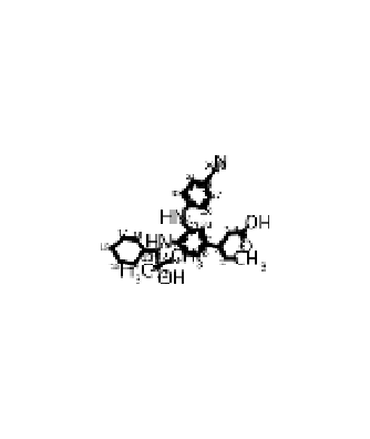 CCC(CC(=O)O)c1ccc(N[C@H](C2CCCCC2)C(C)(C)O)c(Nc2ccc(C#N)cc2)c1